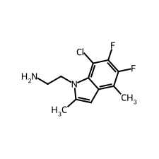 Cc1c(F)c(F)c(Cl)c2c1cc(C)n2CCN